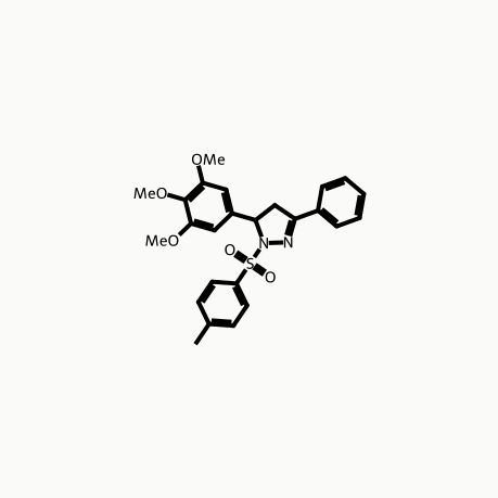 COc1cc(C2CC(c3ccccc3)=NN2S(=O)(=O)c2ccc(C)cc2)cc(OC)c1OC